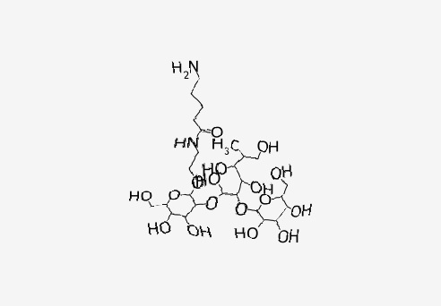 CC(CO)C(O)C(O)C(OC1OC(CO)C(O)C(O)C1O)C(O)OC1C(OCCNC(=O)CCCCN)OC(CO)C(O)C1O